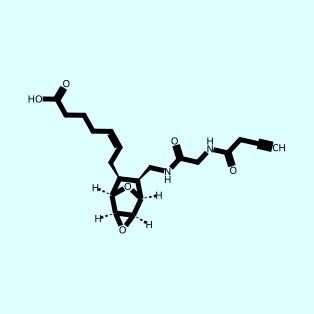 C#CCC(=O)NCC(=O)NC[C@@H]1[C@H](C/C=C\CCCC(=O)O)[C@H]2O[C@@H]1[C@H]1O[C@H]12